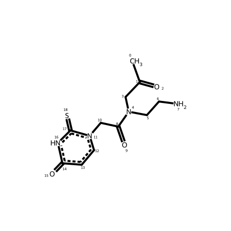 CC(=O)CN(CCN)C(=O)Cn1ccc(=O)[nH]c1=S